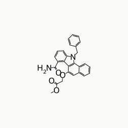 COC(=O)COc1cc2ccccc2c2c1c1c(C(N)=O)cccc1n2Cc1ccccc1